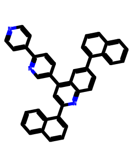 c1ccc2c(-c3ccc4nc(-c5cccc6ccccc56)cc(-c5ccc(-c6ccncc6)nc5)c4c3)cccc2c1